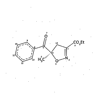 CCOC(=O)C1=NO[C@@](C)(C(=O)c2ccccc2)C1